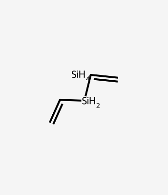 C=C[SiH2]C=C.[SiH4]